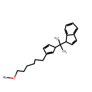 CC(C)(C)OCCCCCCC1=CC(C(C)(C)C2C=Cc3ccccc32)C=C1